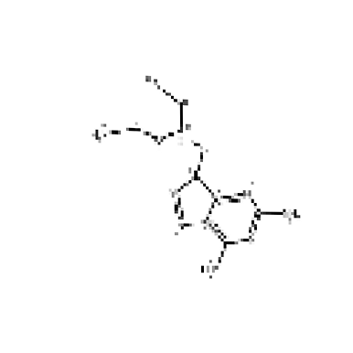 Nc1nc(N)c2ncn(C[C@@H](CF)OCP)c2n1